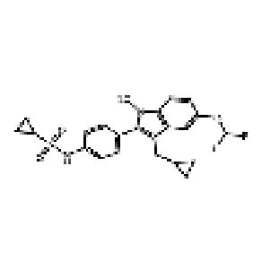 N#Cn1c(-c2ccc(NS(=O)(=O)C3CC3)cc2)c(CC2CC2)c2cc(OC(F)F)ccc21